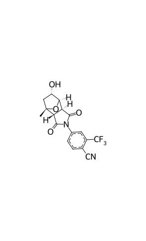 C[C@@]12C[C@H](O)[C@H](O1)[C@H]1C(=O)N(c3ccc(C#N)c(C(F)(F)F)c3)C(=O)[C@@H]12